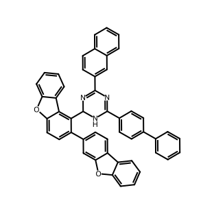 c1ccc(-c2ccc(C3=NC(c4ccc5ccccc5c4)=NC(c4c(-c5ccc6c(c5)oc5ccccc56)ccc5oc6ccccc6c45)N3)cc2)cc1